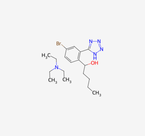 CCCCC(O)c1ccc(Br)cc1-c1nnn[nH]1.CCN(CC)CC